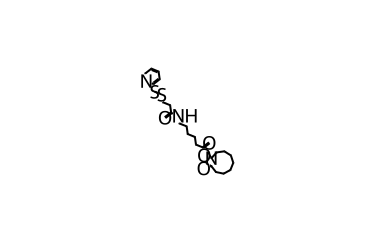 O=C(CCSSc1ccccn1)NCCCCCC(=O)ON1CCCCCCCC1=O